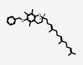 CC(C)=CCC/C(C)=C/CC/C(C)=C/CC[C@]1(C)CCc2c(C)c(OCc3ccccc3)c(C)c(C)c2O1